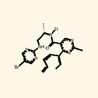 C=C/C=C\C(=C/C)c1nc(C)ncc1C(=O)N(CC)[C@@H](C)CNc1ncc(Br)cn1